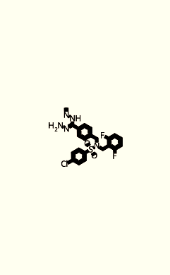 C=NN/C(=N\N)c1ccc(CN(Cc2c(F)cccc2F)S(=O)(=O)c2ccc(Cl)cc2)cc1